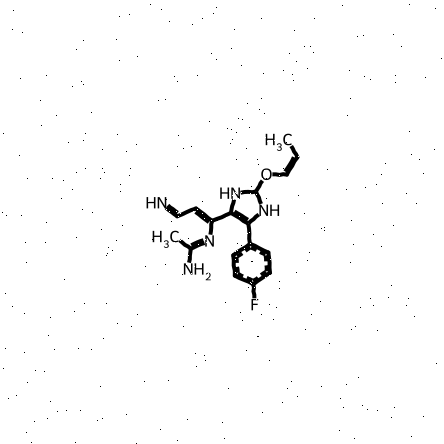 C/C=C\OC1NC(C(=C/C=N)/N=C(\C)N)=C(c2ccc(F)cc2)N1